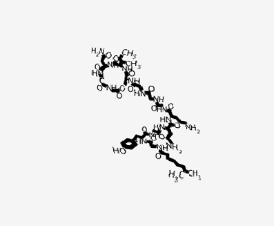 CCC(C)C1NC(=O)[C@@H](NC(=O)CNC(=O)CNC(=O)CNC(=O)C(CCCN)NC(=O)C(CCCN)NC(=O)CNC(=O)C(Cc2ccc(O)cc2)NC(=O)CNC(=O)CCCCCC(C)C)COC(=O)CNC(=O)CNC(=O)C(CC(N)=O)NC1=O